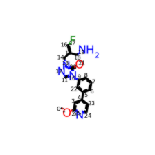 COc1cc(-c2cccc(-n3cnn(C/C(=C/F)CN)c3=O)c2)ccn1